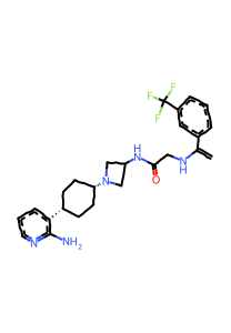 C=C(NCC(=O)NC1CN([C@H]2CC[C@@H](c3cccnc3N)CC2)C1)c1cccc(C(F)(F)F)c1